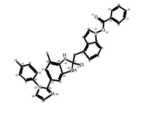 CCC1(Cc2cccc3c2ccn3OC(=O)c2ccccc2)Nc2cc(-c3nccn3-c3ccc(C)cc3)cc(C)c2N1